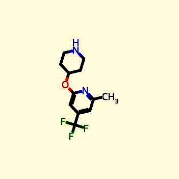 Cc1cc(C(F)(F)F)cc(OC2CCNCC2)n1